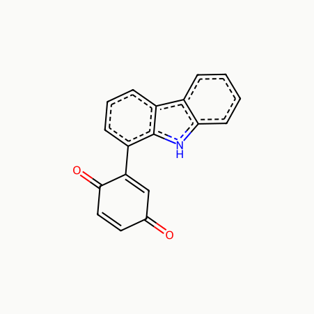 O=C1C=CC(=O)C(c2cccc3c2[nH]c2ccccc23)=C1